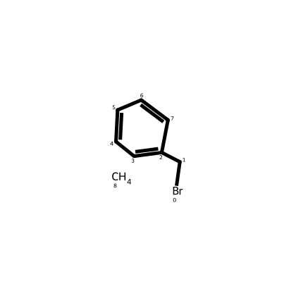 BrCc1ccccc1.C